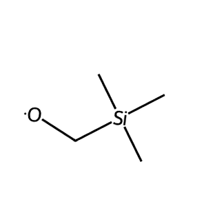 C[Si](C)(C)C[O]